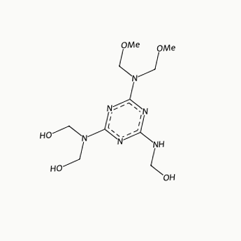 COCN(COC)c1nc(NCO)nc(N(CO)CO)n1